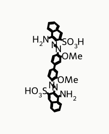 COc1cc(-c2ccc(/N=N/c3c(S(=O)(=O)O)cc4ccccc4c3N)c(OC)c2)ccc1/N=N/c1c(S(=O)(=O)O)cc2ccccc2c1N